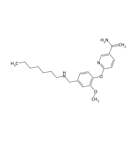 C=C(N)c1ccc(Oc2ccc(CNCCCCCCC)cc2OC)nc1